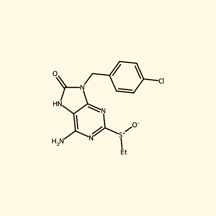 CC[S+]([O-])c1nc(N)c2[nH]c(=O)n(Cc3ccc(Cl)cc3)c2n1